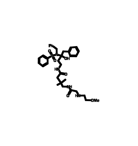 COCCNCC(=O)NCC(C)(C)CC(=O)NCCC(O)(Cc1ccccc1)N(CC(C)C)S(=O)(=O)c1ccccc1